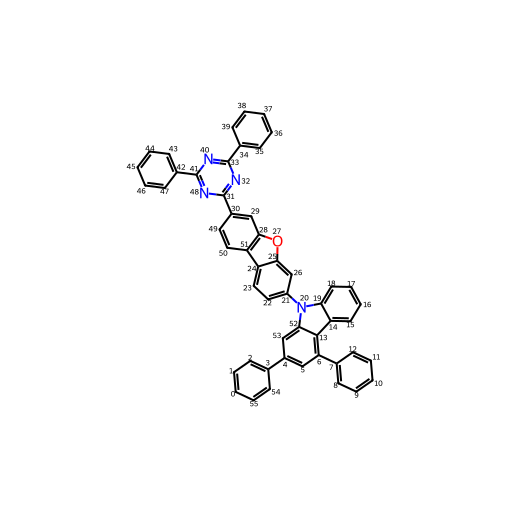 c1ccc(-c2cc(-c3ccccc3)c3c4ccccc4n(-c4ccc5c(c4)oc4cc(-c6nc(-c7ccccc7)nc(-c7ccccc7)n6)ccc45)c3c2)cc1